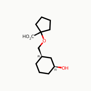 O=C(O)C1(OC[C@@H]2CCC[C@H](O)C2)CCCC1